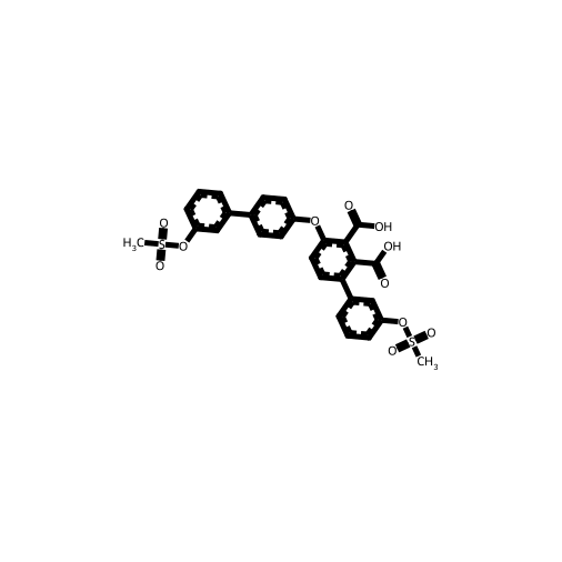 CS(=O)(=O)Oc1cccc(-c2ccc(Oc3ccc(-c4cccc(OS(C)(=O)=O)c4)c(C(=O)O)c3C(=O)O)cc2)c1